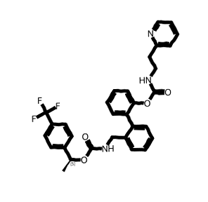 C[C@H](OC(=O)NCc1ccccc1-c1ccccc1OC(=O)NCCc1ccccn1)c1ccc(C(F)(F)F)cc1